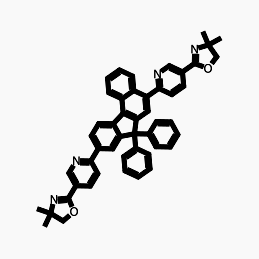 CC1(C)COC(c2ccc(-c3ccc4c(c3)C(c3ccccc3)(c3ccccc3)c3cc(-c5ccc(C6=NC(C)(C)CO6)cn5)c5ccccc5c3-4)nc2)=N1